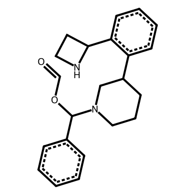 O=COC(c1ccccc1)N1CCCC(c2ccccc2C2CCN2)C1